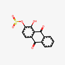 O=C1c2ccccc2C(=O)c2c1ccc(O[SH](=O)=O)c2O